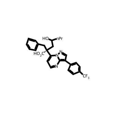 CCCC(O)C[C@@](Cc1ccccc1)(C(=O)O)c1ccnc2c(-c3ccc(C(F)(F)F)cc3)cnn12